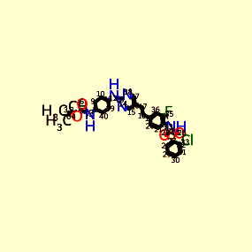 CC(C)(C)OC(=O)NC1CCC(Nc2ncc(CCc3ccc(NS(=O)(=O)c4ccccc4Cl)c(F)c3)cn2)CC1